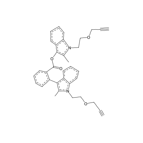 C#CCOCCn1c(C)c(OC(=O)c2ccccc2-c2c(C)n(CCOCC#C)c3ccccc23)c2ccccc21